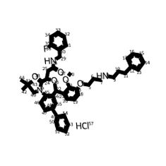 COc1c(OCCCNCCCc2ccccc2)cccc1C1OC(CC(=O)NCc2ccccc2F)C(=O)N(CC(C)(C)C)c2ccc(-c3ccccc3)cc21.Cl